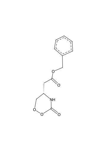 O=C(C[C@H]1COOC(=O)N1)OCc1ccccc1